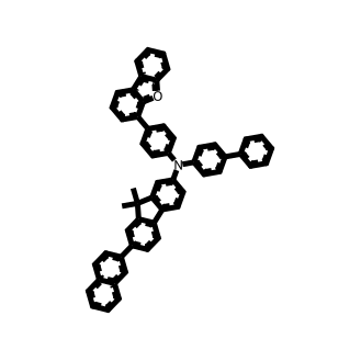 CC1(C)c2cc(-c3ccc4ccccc4c3)ccc2-c2ccc(N(c3ccc(-c4ccccc4)cc3)c3ccc(-c4cccc5c4oc4ccccc45)cc3)cc21